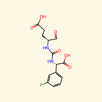 O=C[C@H](CCC(=O)O)NC(=O)N[C@H](C(=O)O)c1cccc(F)c1